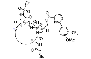 COc1ccc(-c2cccc(C(=O)N3C[C@H]4CN5C(=O)[C@@H](NC(=O)OC(C)(C)C)CCCCC/C=C\[C@H]6C[C@@]6(C(=O)NS(=O)(=O)C6CC6)NC(=O)[C@@H]5[C@H]4C3)n2)cc1C(F)(F)F